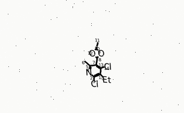 CCc1c(Cl)nc(C)c(C2OC(C)O2)c1Cl